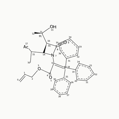 C=CCOC(=O)C(N1C(=O)[C@H]([C@@H](C)O)C1C(C)C(C)=O)=P(c1ccccc1)(c1ccccc1)c1ccccc1